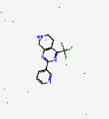 FC(F)(F)c1nc(-c2cccnc2)nc2c1CCNC2